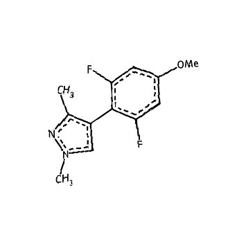 COc1cc(F)c(-c2cn(C)nc2C)c(F)c1